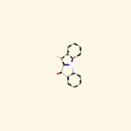 O=C1c2ccccc2-n2c1c(Cl)c1ccccc12